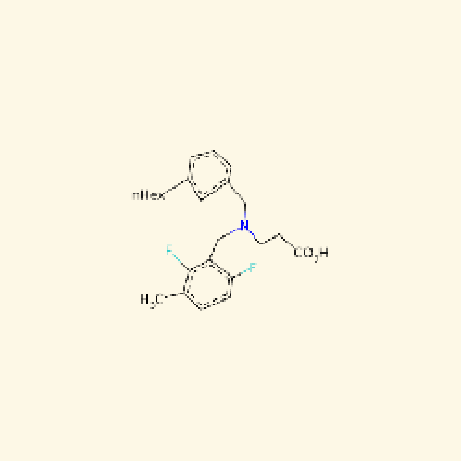 CCCCCCc1cccc(CN(CCC(=O)O)Cc2c(F)ccc(C)c2F)c1